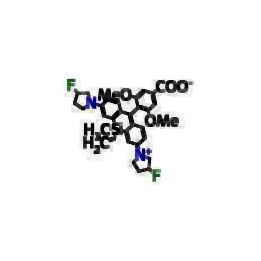 C=C[Si]1(C)C2=C/C(=[N+]3\CCC(F)C3)C=CC2=C(c2c(OC)cc(C(=O)[O-])cc2OC)c2ccc(N3CCC(F)C3)cc21